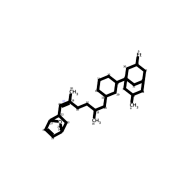 CCC1CC2CC(C)CC(C3CCCC(CC(C)CC/C(C)=C\C4CC5C=CC4O5)C3)(C1)C2